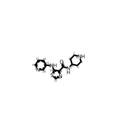 O=C(NC1CCNCC1)c1ncsc1Nc1cccnc1